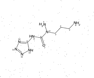 NCCCN(N)C(=O)Nc1nnn[nH]1